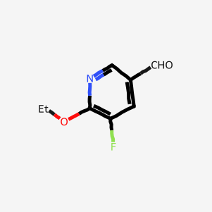 CCOc1ncc(C=O)cc1F